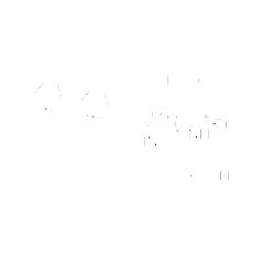 CC[C@H](CCC(=O)O)NC(=O)[C@H](CCC(=O)O)NC(=O)CCc1ccc(-c2ccccc2)cc1